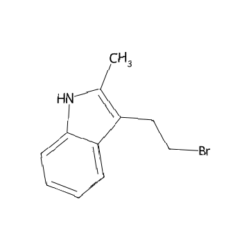 Cc1[nH]c2ccccc2c1CCBr